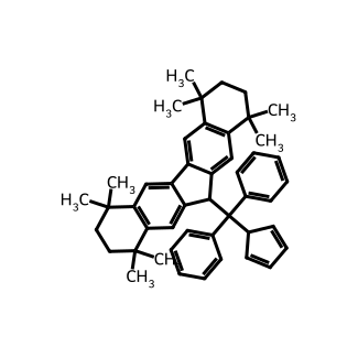 CC1(C)CCC(C)(C)c2cc3c(cc21)-c1cc2c(cc1C3C(c1ccccc1)(c1ccccc1)C1C=CC=C1)C(C)(C)CCC2(C)C